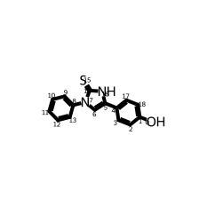 Oc1ccc(-c2cn(-c3ccccc3)c(=S)[nH]2)cc1